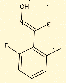 Cc1cccc(F)c1/C(Cl)=N/O